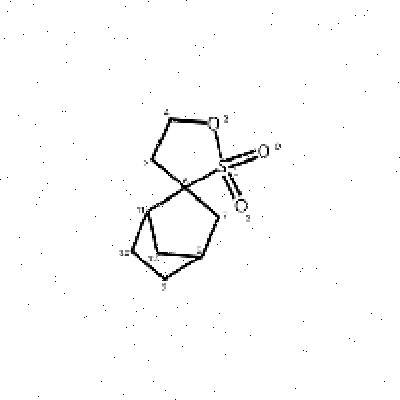 O=S1(=O)OCCC12CC1CCC2C1